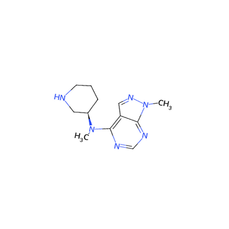 CN(c1ncnc2c1cnn2C)[C@@H]1CCCNC1